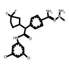 CN(N)/N=C(\N)c1ccc(C(C(=O)Nc2cc(Cl)cc(Cl)c2)C2CCC(F)(F)C2)cc1